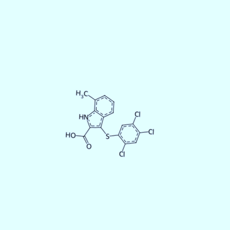 Cc1cccc2c(Sc3cc(Cl)c(Cl)cc3Cl)c(C(=O)O)[nH]c12